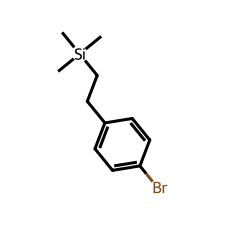 C[Si](C)(C)CCc1ccc(Br)cc1